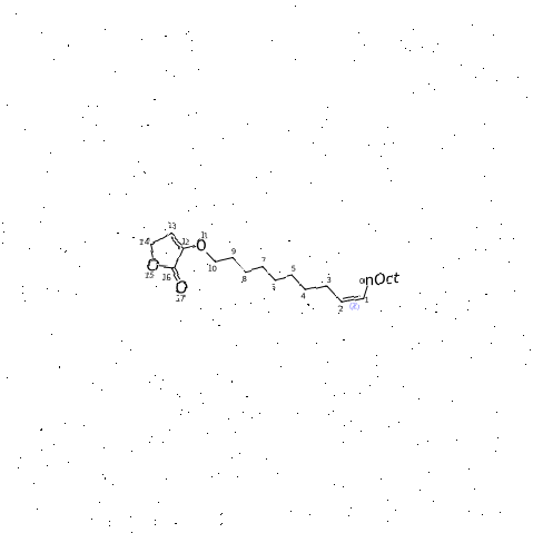 CCCCCCCC/C=C\CCCCCCCCOC1=CCOC1=O